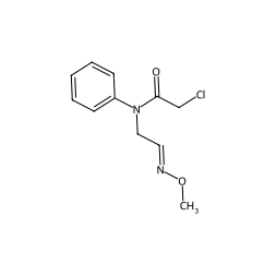 CON=CCN(C(=O)CCl)c1ccccc1